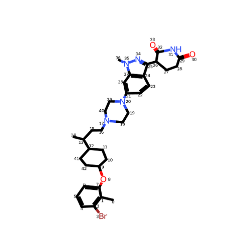 Cc1c(Br)cccc1OC1CCC(C(C)CCN2CCN(c3ccc4c(C5CCC(=O)NC5=O)nn(C)c4c3)CC2)CC1